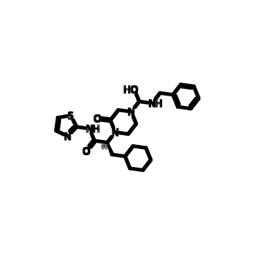 O=C(Nc1nccs1)[C@H](CC1CCCCC1)N1CCN(C(O)NCc2ccccc2)CC1=O